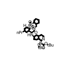 CCCc1cccc(C(Nc2ccc3c(N(OC(C)(C)C)C(=O)OC(C)(C)C)nccc3c2)C(=O)NCc2ccccc2S(C)(=O)=O)c1